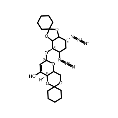 [N-]=[N+]=NC1C[C@@H](N=[N+]=[N-])C2OC3(CCCCC3)OC2[C@@H]1O[C@@H]1C=C(O)[C@@H]2OC3(CCCCC3)OCC2O1